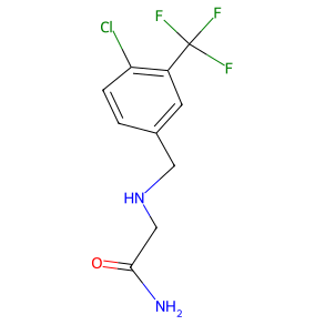 NC(=O)CNCc1ccc(Cl)c(C(F)(F)F)c1